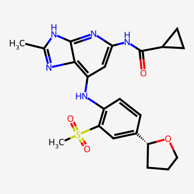 Cc1nc2c(Nc3ccc([C@H]4CCCO4)cc3S(C)(=O)=O)cc(NC(=O)C3CC3)nc2[nH]1